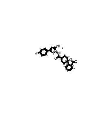 Nc1cc(-c2ccc(F)cc2)nn1NC(=O)C1CCC2(CC1)OC(=O)c1ccncc12